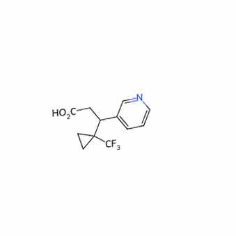 O=C(O)CC(c1cccnc1)C1(C(F)(F)F)CC1